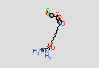 CC(C)(N)CC(N)C(C)(C)C(=O)OCCCCCCCCCCCn1cc2cc(-c3ccc(OC(F)(F)F)cc3)c(=O)oc2cc1=O